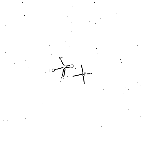 C[N+](C)(C)C.O=S(=O)(O)[S-]